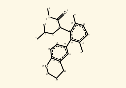 COC(=O)C(CC(C)C)c1c(C)ccc(C)c1-c1ccc2c(c1)CCCO2